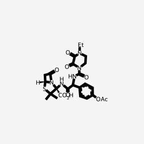 CCN1CCN(C(=O)NC(C(=O)N[C@@]2(C(=O)O)N3C(=O)C[C@H]3SC2(C)C)c2ccc(OC(C)=O)cc2)C(=O)C1=O